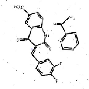 NC(=O)c1ccncc1.O=C1Nc2ccc(C(=O)O)cc2C(=O)/C1=C/c1ccc(Cl)c(Cl)c1